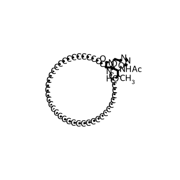 CC(=O)N[C@H](C(=O)N1CCCCCCCCCCCCCCCCCCCCCCCCCCCCCCCCCCCCCCCCC12CN(Cc1nnco1)C2=O)[C@@H](C)O